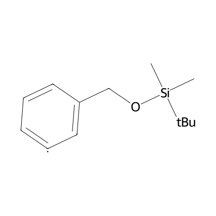 CC(C)(C)[Si](C)(C)OCc1c[c]ccc1